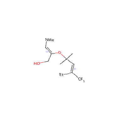 CC/C(=C\C(C)(C)O/C(=C\NC)CO)C(F)(F)F